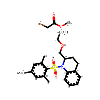 CC(C)(C)OC(=O)CBr.COc1cc(C)c(S(=O)(=O)N2c3ccccc3CCC2COCC(=O)O)c(C)c1